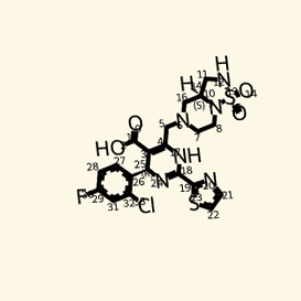 O=C(O)C1=C(CN2CCN3[C@H](CNS3(=O)=O)C2)NC(c2nccs2)=N[C@H]1c1ccc(F)cc1Cl